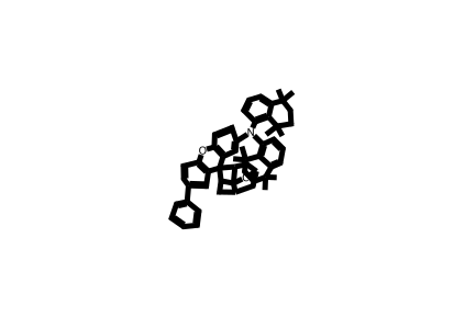 CC1(C)CCC(C)(C)c2c(N(c3ccc4c(c3)C3(c5cc(-c6ccccc6)ccc5O4)C4CC5CC6CC3C64C5)c3cccc4c3C(C)(C)CCC4(C)C)cccc21